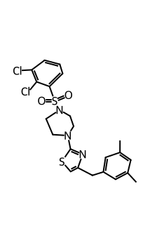 Cc1cc(C)cc(Cc2csc(N3CCN(S(=O)(=O)c4cccc(Cl)c4Cl)CC3)n2)c1